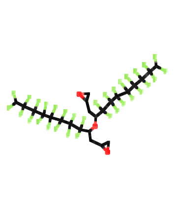 FC(F)C(F)(F)C(F)(F)C(F)(F)C(F)(F)C(F)(F)C(F)(F)C(F)(F)C(CC1CO1)OC(CC1CO1)C(F)(F)C(F)(F)C(F)(F)C(F)(F)C(F)(F)C(F)(F)C(F)(F)C(F)F